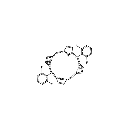 Fc1cccc(F)c1-c1c2nc(cc3ccc([nH]3)c(-c3c(F)cccc3F)c3nc(cc4ccc1[nH]4)C=C3)C=C2